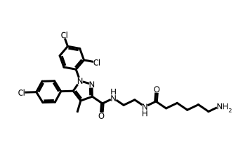 Cc1c(C(=O)NCCNC(=O)CCCCCN)nn(-c2ccc(Cl)cc2Cl)c1-c1ccc(Cl)cc1